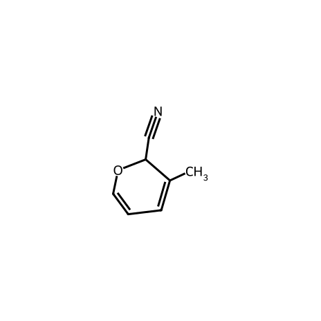 CC1=CC=COC1C#N